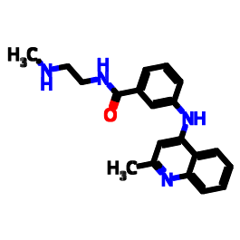 CNCCNC(=O)c1cccc(Nc2cc(C)nc3ccccc23)c1